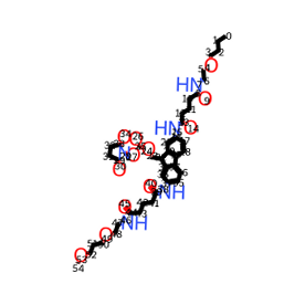 CCCCOCCNC(=O)CCCC(=O)Nc1ccc2c(c1)C(COC(=O)ON1C(=O)CCC1=O)c1cc(NC(=O)CCCC(=O)NCCOCCCOC)ccc1-2